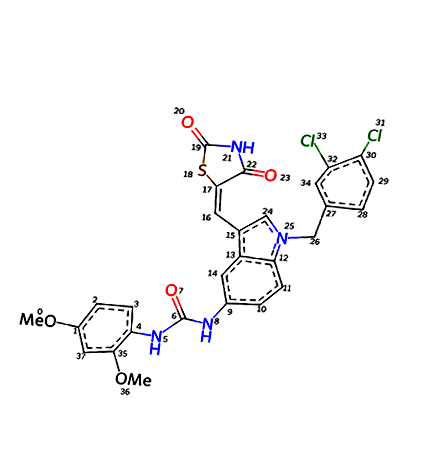 COc1ccc(NC(=O)Nc2ccc3c(c2)c(C=C2SC(=O)NC2=O)cn3Cc2ccc(Cl)c(Cl)c2)c(OC)c1